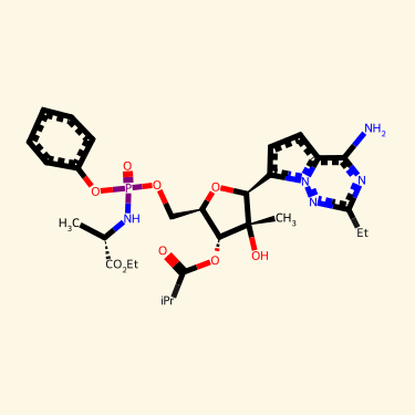 CCOC(=O)[C@H](C)NP(=O)(OC[C@H]1O[C@@H](c2ccc3c(N)nc(CC)nn23)[C@](C)(O)[C@@H]1OC(=O)C(C)C)Oc1ccccc1